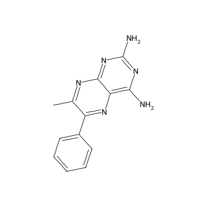 Cc1nc2nc(N)nc(N)c2nc1-c1ccccc1